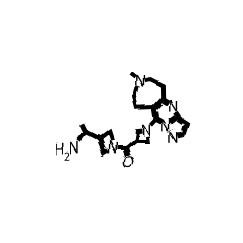 CC(N)C1CN(C(=O)C2CN(c3c4c(nc5ccnn35)CCN(C)CC4)C2)C1